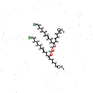 CCCCCCC(CCC=CCCCCCCBr)OCOCOC(CCC=CCCCCCCBr)CCCCCC